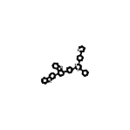 c1ccc(-c2cc(-c3ccc(-c4ccccn4)cc3)nc(-c3ccc(-c4ccc(-c5ccc6c(c5)sc5ccccc56)c5c4oc4ccccc45)cc3)n2)cc1